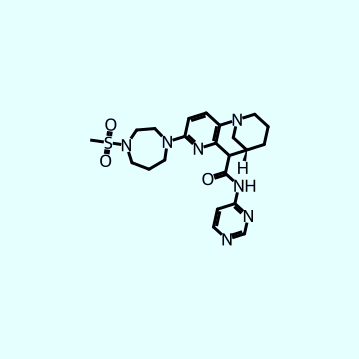 CS(=O)(=O)N1CCCN(c2ccc3c(n2)C(C(=O)Nc2ccncn2)[C@H]2CCCN3C2)CC1